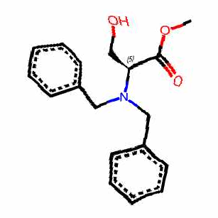 COC(=O)[C@H](CO)N(Cc1ccccc1)Cc1ccccc1